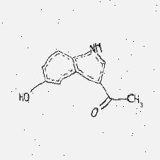 CC(=O)c1c[nH]c2ccc(O)cc12